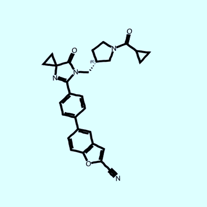 N#Cc1cc2cc(-c3ccc(C4=NC5(CC5)C(=O)N4C[C@@H]4CCN(C(=O)C5CC5)C4)cc3)ccc2o1